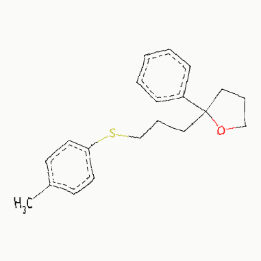 Cc1ccc(SCCCC2(c3ccccc3)CCCO2)cc1